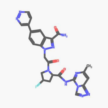 Cc1cc2nncn2c(NC(=O)C2CC(F)CN2C(=O)Cn2nc(C(N)=O)c3cc(-c4ccnnc4)ccc32)n1